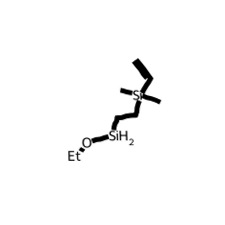 C=C[Si](C)(C)CC[SiH2]OCC